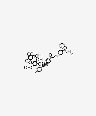 C=C(C)[C@H]1CC=C(C)CC1.CC(=O)O.COc1cc(C=O)ccc1O.NC(=O)C1(N2CCCCC2)CCN(CCCC(=O)c2ccc(F)cc2)CC1.OCc1ccc2c(c1)OCO2